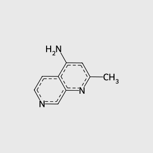 Cc1cc(N)c2ccncc2n1